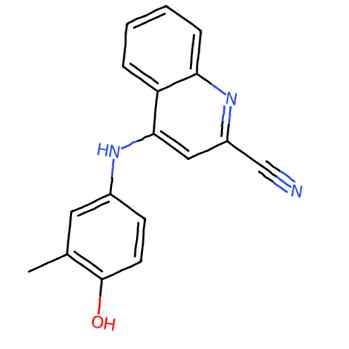 Cc1cc(Nc2cc(C#N)nc3ccccc23)ccc1O